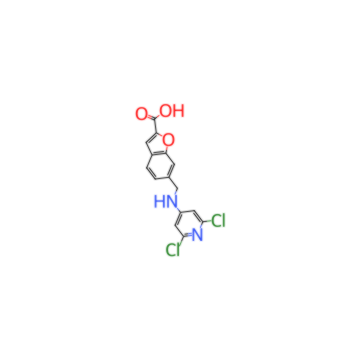 O=C(O)c1cc2ccc(CNc3cc(Cl)nc(Cl)c3)cc2o1